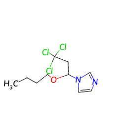 CCCCOC(CC(Cl)(Cl)Cl)n1ccnc1